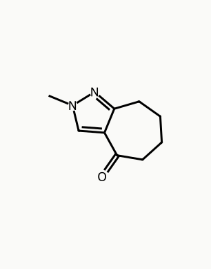 Cn1cc2c(n1)CCCCC2=O